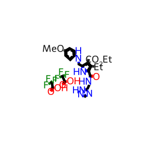 CCOC(=O)c1c(CNc2ccc(OC)cc2)[nH]c(C(=O)NCc2ncn[nH]2)c1CC.O=C(O)C(F)(F)F.O=C(O)C(F)(F)F